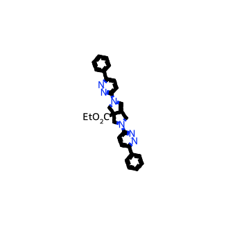 CCOC(=O)C12CN(c3ccc(-c4ccccc4)nn3)C=C1CN(c1ccc(-c3ccccc3)nn1)C2